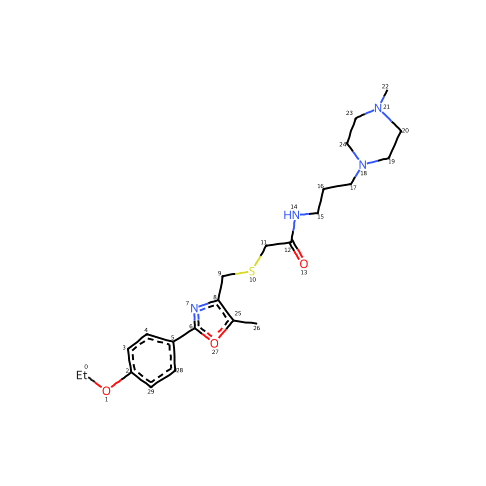 CCOc1ccc(-c2nc(CSCC(=O)NCCCN3CCN(C)CC3)c(C)o2)cc1